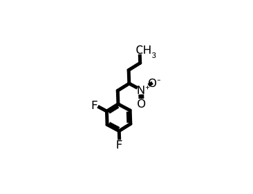 CCCC(Cc1ccc(F)cc1F)[N+](=O)[O-]